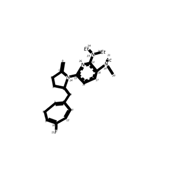 C=C1CCC(CC2=CCC=C(F)C=C2)N1c1ccc(N(C)C(C)=O)c(N(CC)CC)n1